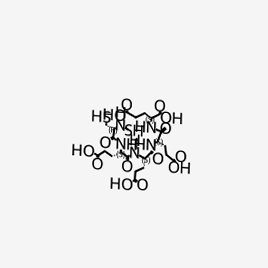 O=C(O)CC[C@H](NC(=O)[C@H](CCC(=O)O)NC(=O)[C@H](CCC(=O)O)NC(=O)[C@H](CCC(=O)O)NC(=O)[C@H](CS)NS)C(=O)O